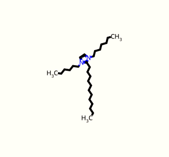 CCCCCCCCCCCCc1n(CCCCCCC)cc[n+]1CCCCCC